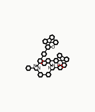 c1ccc(-c2cc(-c3cccc(-c4cccc(-c5cc(-c6ccccc6)nc(-c6c(-c7ccc8c(c7)Oc7ccccc7C87c8ccccc8-c8ccccc87)ccc7ccccc67)n5)c4)c3)nc(-c3ccc(-c4ccc(-c5ccc6c(c5)Oc5ccccc5C65c6ccccc6-c6ccccc65)cc4)cc3)n2)cc1